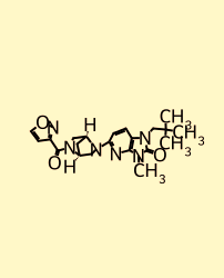 Cn1c(=O)n(CC(C)(C)C)c2ccc(N3C[C@@H]4C[C@H]3CN4C(=O)c3ccon3)nc21